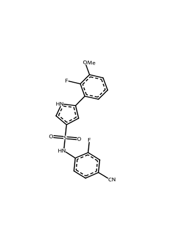 COc1cccc(-c2cc(S(=O)(=O)Nc3ccc(C#N)cc3F)c[nH]2)c1F